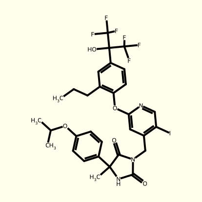 CCCc1cc(C(O)(C(F)(F)F)C(F)(F)F)ccc1Oc1cc(CN2C(=O)NC(C)(c3ccc(OC(C)C)cc3)C2=O)c(I)cn1